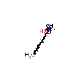 CCCCCCCCCCCCCCCCC1(O)CN(C)CCO1